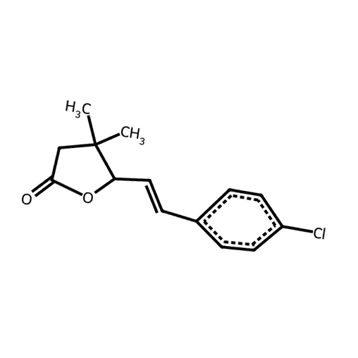 CC1(C)CC(=O)OC1C=Cc1ccc(Cl)cc1